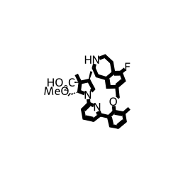 COC[C@H]1N(c2cccc(-c3cccc(C)c3OCc3cc(F)c4c(c3)CCNCC4)n2)C[C@H](C)[C@@]1(C)C(=O)O